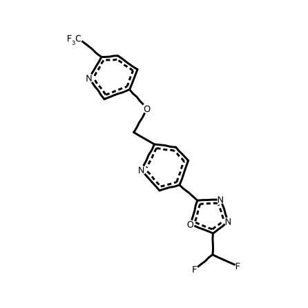 FC(F)c1nnc(-c2ccc(COc3ccc(C(F)(F)F)nc3)nc2)o1